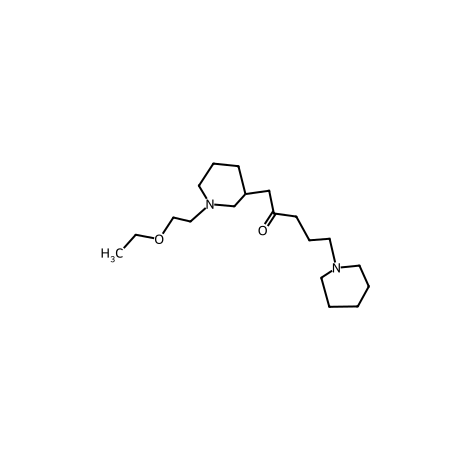 CCOCCN1CCCC(CC(=O)CCCN2CCCCC2)C1